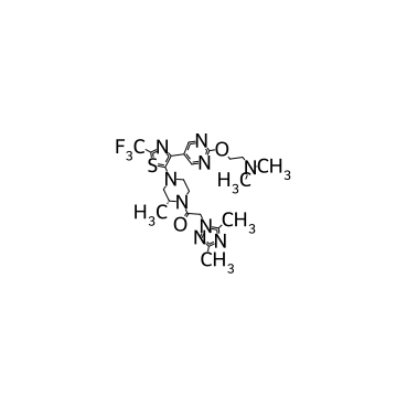 Cc1nc(C)n(CC(=O)N2CCN(c3sc(C(F)(F)F)nc3-c3cnc(OCCN(C)C)nc3)C[C@H]2C)n1